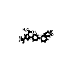 CC(C)n1nc(C(F)(F)F)cc1C1CCC(N2CCCC3(CCS(=O)(=O)C3)C2)CC1